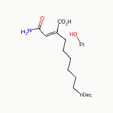 CCCCCCCCCCCCCCCC/C(=C/C(N)=O)C(=O)O.CCO